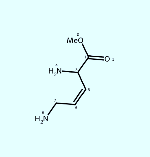 COC(=O)C(N)/C=C\CN